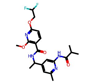 COc1nc(OCC(F)F)ccc1C(=O)NC(C)c1cc(C)nc(NC(=O)C(C)C)c1